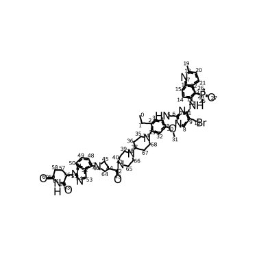 CCc1cc(Nc2ncc(Br)c(Nc3ccc4nc(C)ccc4c3P(C)(C)=O)n2)c(OC)cc1N1CCC(N2CCN(C(=O)C3CN(c4cccc5c4cnn5C4CCC(=O)NC4=O)C3)CC2)CC1